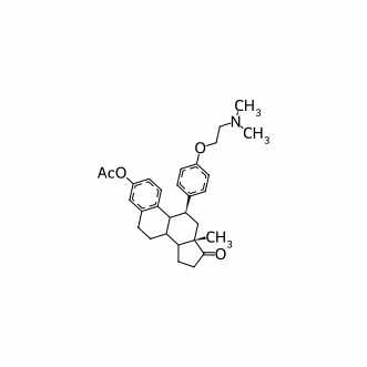 CC(=O)Oc1ccc2c(c1)CCC1C2[C@@H](c2ccc(OCCN(C)C)cc2)C[C@]2(C)C(=O)CCC12